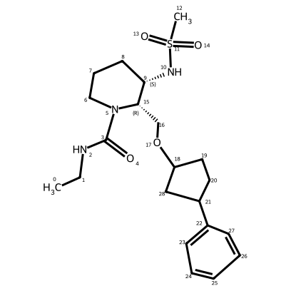 CCNC(=O)N1CCC[C@H](NS(C)(=O)=O)[C@@H]1COC1CCC(c2ccccc2)C1